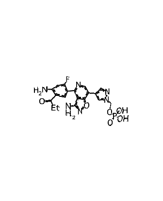 CCC(=O)c1cc(-c2ncc(-c3cnn(COP(=O)(O)O)c3)c3onc(N)c23)c(F)cc1N